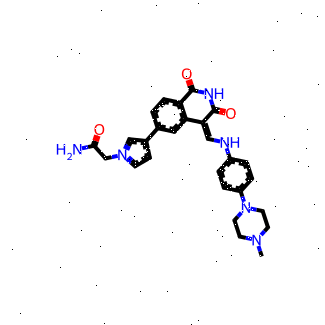 CN1CCN(c2ccc(N/C=C3\C(=O)NC(=O)c4ccc(-c5ccn(CC(N)=O)c5)cc43)cc2)CC1